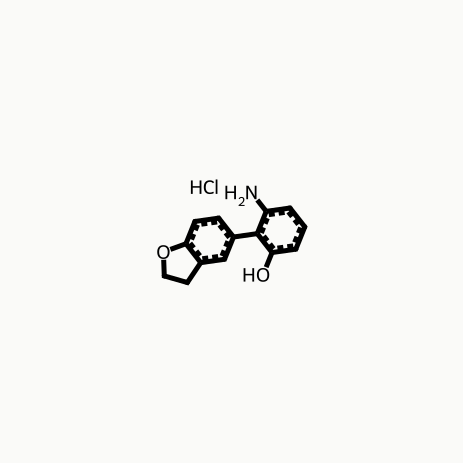 Cl.Nc1cccc(O)c1-c1ccc2c(c1)CCO2